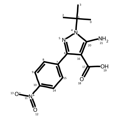 CC(C)(C)n1nc(-c2ccc([N+](=O)[O-])cc2)c(C(=O)O)c1N